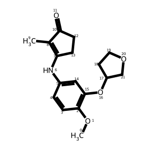 COc1ccc(NC2=C(C)C(=O)CC2)cc1OC1CCOC1